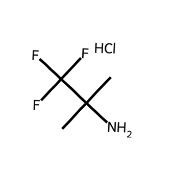 CC(C)(N)C(F)(F)F.Cl